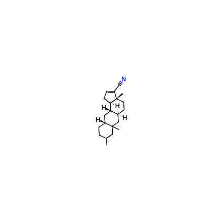 CC1CC[C@@H]2C[C@H]3[C@@H](CC[C@@]4(C)C(C#N)=CC[C@H]34)CC2(C)C1